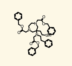 CC(C)(C)CCC1(N(CCc2ccccc2)CC(=O)OCc2ccccc2)CN(CC(=O)OCc2ccccc2)CCN(CC(=O)OCc2ccccc2)C1